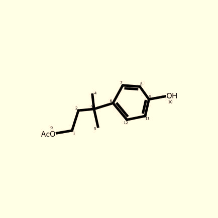 CC(=O)OCCC(C)(C)c1ccc(O)cc1